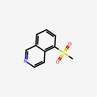 CS(=O)(=O)c1cccc2cnccc12